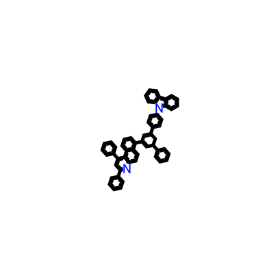 C1=C(c2ccc(-n3c4ccccc4c4ccccc43)cc2)CC(c2ccccc2)C=C1c1cccc2c1ccc1nc(-c3ccccc3)cc(-c3ccccc3)c12